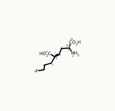 N[C@@H](C/C=C(/CCCF)C(=O)O)C(=O)O